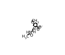 CCC(=O)NCCNc1cc(OC)ccc1[N+](=O)[O-]